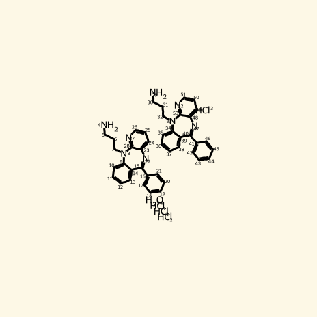 Cl.Cl.Cl.Cl.NCCCN1c2ccccc2C(c2ccccc2)=Nc2cccnc21.NCCCN1c2ccccc2C(c2ccccc2)=Nc2cccnc21.O